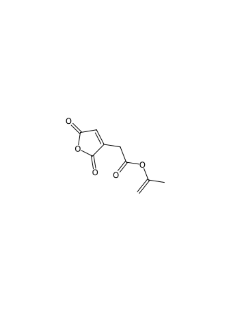 C=C(C)OC(=O)CC1=CC(=O)OC1=O